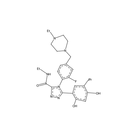 CCNC(=O)c1nnc(-c2cc(C(C)C)c(O)cc2O)n1-c1ccc(CN2CCN(CC)CC2)cc1F